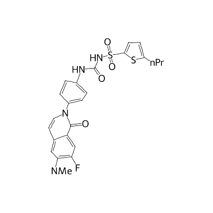 CCCc1ccc(S(=O)(=O)NC(=O)Nc2ccc(-n3ccc4cc(NC)c(F)cc4c3=O)cc2)s1